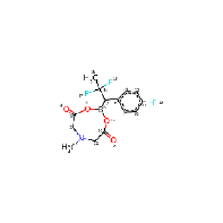 CN1CC(=O)OB(C(c2ccc(F)cc2)C(C)(F)F)OC(=O)C1